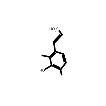 O=C(O)C=Cc1ccc(I)c(O)c1I